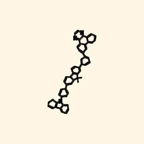 CC1(C)c2cc(-c3cccc(-c4ccc5c(c4)c4ccccc4c4nccnc54)c3)ccc2C2C=CC(c3ccc(-n4c5c(c6ccccc64)C=CCC5)cc3)=CC21